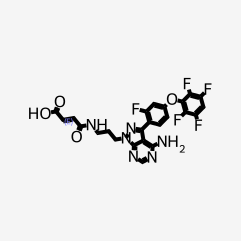 Nc1ncnc2c1c(-c1ccc(Oc3c(F)c(F)cc(F)c3F)cc1F)nn2CCCNC(=O)/C=C/C(=O)O